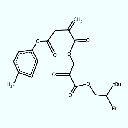 C=C(CC(=O)Oc1ccc(C)cc1)C(=O)OCC(=O)C(=O)OCC(CC)CCCC